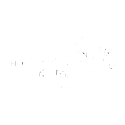 O=c1[nH]sc2c1c(=O)c1cc(F)c(N3CCN(CCO)CC3)c(F)c1n2C1CC1